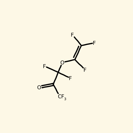 O=C(C(F)(F)F)C(F)(F)OC(F)=C(F)F